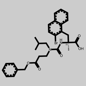 CC(C)CN(CCC(=O)OCc1ccccc1)C(=O)N[C@@](C)(Cc1c(Br)ccc2ccccc12)C(=O)O